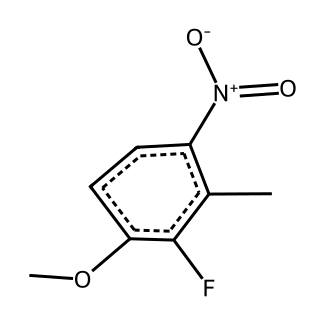 COc1ccc([N+](=O)[O-])c(C)c1F